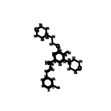 Cc1cccc(C=NNc2cc(N3CCOCC3)c(C)c(OCCN3CCOCC3)n2)c1